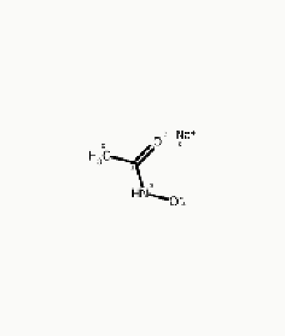 CC(=O)N[O-].[Na+]